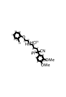 COc1ccc(C(C#N)(CCCNCCOc2ccccc2C)C(C)C)cc1OC.Cl